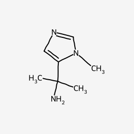 Cn1cncc1C(C)(C)N